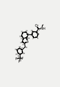 CNC(=O)c1cccc(-c2cccc3cc(Cc4cccc(C(F)(F)F)c4)sc23)c1